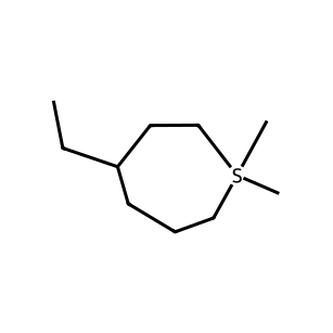 CCC1CCCS(C)(C)CC1